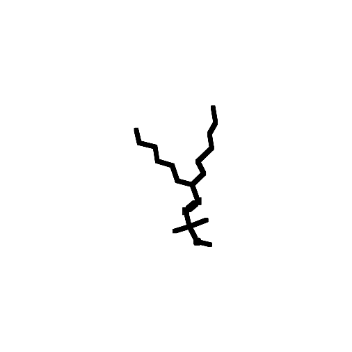 CCCCCCC(CCCCCC)/N=N/C(C)(C)OC